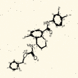 O=C(N[C@H]1CCSc2c(C(=O)Nc3ccc(F)c(F)c3)ccc(F)c21)OCc1ccccn1